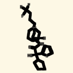 O=C(N[C@H]1C[N+]2(CCCC(F)(F)F)CCC1CC2)[C@](O)(c1cccs1)C1CCCC1